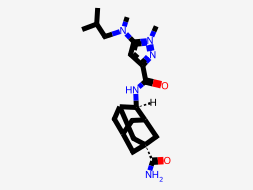 CC(C)CN(C)c1cc(C(=O)N[C@H]2C3CC4CC2C[C@](C(N)=O)(C4)C3)nn1C